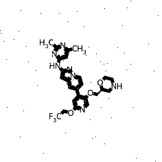 Cc1cc(Nc2cc3cc(-c4cc(OCC(F)(F)F)ncc4OC[C@@H]4CNCCO4)ccn3n2)nc(C)n1